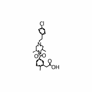 Cc1ccc(S(=O)(=O)N2C(C)CN(CCc3ccc(Cl)cc3)C[C@@H]2C)cc1CC(=O)O